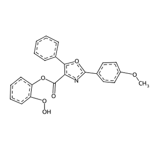 COc1ccc(-c2nc(C(=O)Oc3ccccc3OO)c(-c3ccccc3)o2)cc1